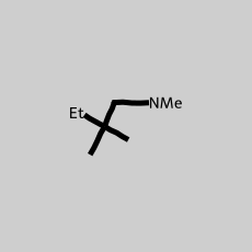 CCC(C)(C)CNC